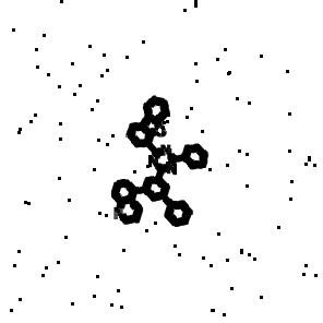 c1ccc(-c2cc(-c3nc(-c4ccccc4)nc(-c4cccc5c4oc4ccccc45)n3)cc(-c3cccc4ncccc34)c2)cc1